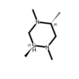 C[C@@H]1CN(C)[Si@@H](C)CN1C